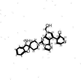 N[C@@H]1c2ccccc2OC12CCN(c1nc3c(c(-c4ccncc4Cl)cn3CO)c3nccn13)CC2